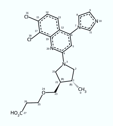 C[C@H]1CN(c2cc(-n3ccnc3)c3ccc(Cl)c(Cl)c3n2)C[C@@H]1COCCC(=O)O